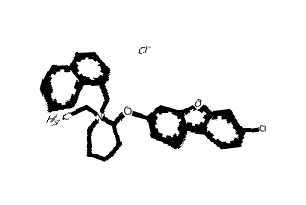 CC[N+]1(Cc2cccc3ccccc23)CCCCC1Oc1ccc2c(c1)oc1cc(Cl)ccc12.[Cl-]